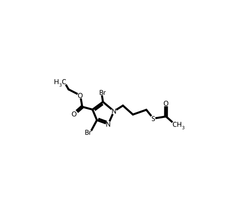 CCOC(=O)c1c(Br)nn(CCCSC(C)=O)c1Br